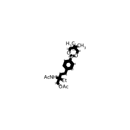 CCC(CCc1ccc(B2OCC(C)(C)CO2)cc1)(COC(C)=O)NC(C)=O